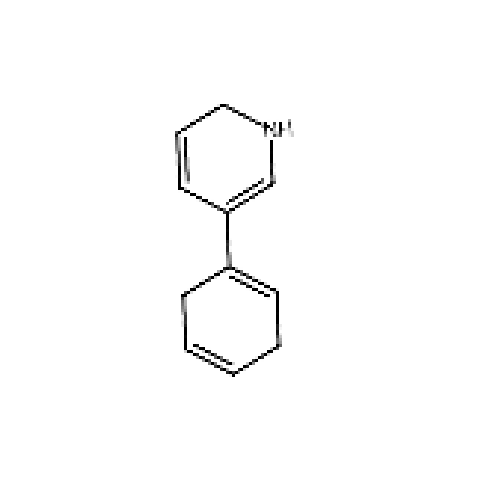 C1=CCC(C2=CNCC=C2)=CC1